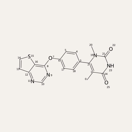 Cc1c(-c2ccc(Oc3ncnc4ccsc34)cc2)n(C)c(=O)[nH]c1=O